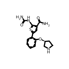 NC(=O)Nc1sc(-c2ccccc2O[C@H]2CCNC2)cc1C(N)=O